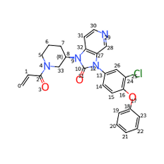 C=CC(=O)N1CCC[C@@H](n2c(=O)n(-c3ccc(Oc4ccccc4)c(Cl)c3)c3cnccc32)C1